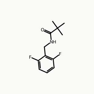 CC(C)(C)C(=O)NCc1c(F)cccc1F